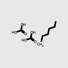 C.CCCCCC.O=C(O)O.O=C(O)O